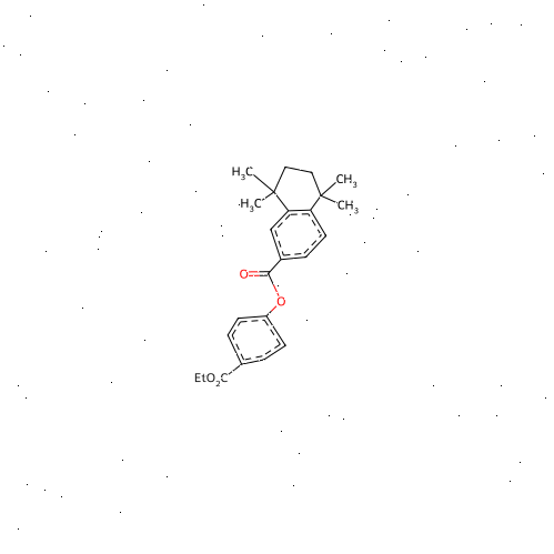 CCOC(=O)c1ccc(OC(=O)c2ccc3c(c2)C(C)(C)CCC3(C)C)cc1